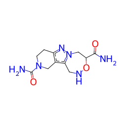 NC(=O)C1Cn2nc3c(c2CNO1)CN(C(N)=O)CC3